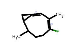 CC1=C(\F)CCC(C)C2C\C2=C\1